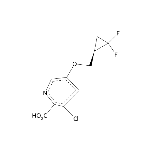 O=C(O)c1ncc(OC[C@H]2CC2(F)F)cc1Cl